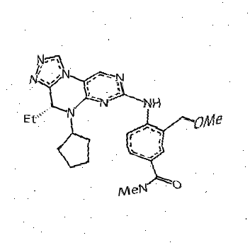 CC[C@@H]1c2nncn2-c2cnc(Nc3ccc(C(=O)NC)cc3COC)nc2N1C1CCCC1